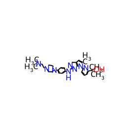 Cc1cc2cnc(Nc3ccc(N4CCN(CCN(C)C)CC4)cc3)nc2n1-c1cccc(C(C)(C)O)n1